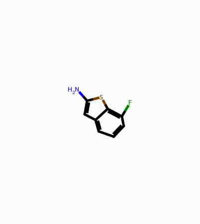 Nc1cc2cccc(F)c2s1